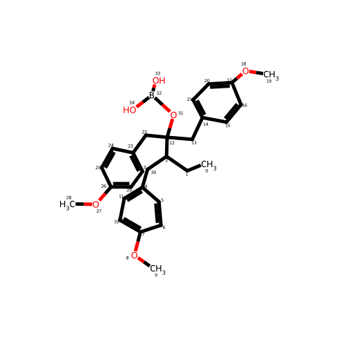 CCC(Cc1ccc(OC)cc1)C(Cc1ccc(OC)cc1)(Cc1ccc(OC)cc1)OB(O)O